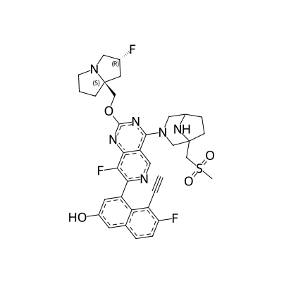 C#Cc1c(F)ccc2cc(O)cc(-c3ncc4c(N5CC6CCC(CS(C)(=O)=O)(C5)N6)nc(OC[C@@]56CCCN5C[C@H](F)C6)nc4c3F)c12